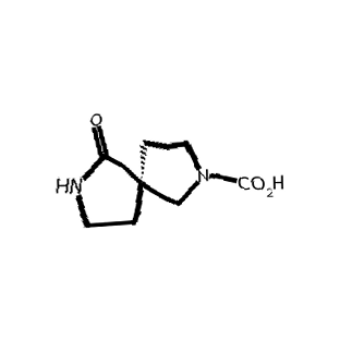 O=C(O)N1CC[C@@]2(CCNC2=O)C1